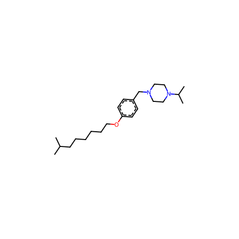 CC(C)CCCCCCOc1ccc(CN2CCN(C(C)C)CC2)cc1